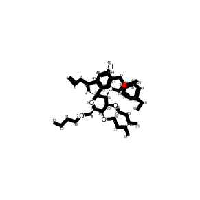 C=CCC1C[C@]2(O[C@H](COCCCC)[C@@H](OCCCC)[C@H](OCCCC)[C@H]2OCCCC)c2cc(Cc3ccc(CC)cc3)c(Cl)cc21